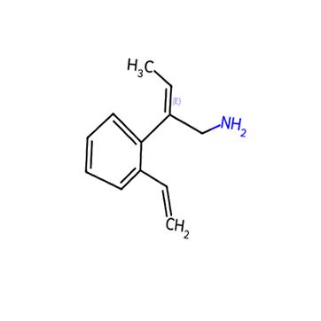 C=Cc1ccccc1/C(=C\C)CN